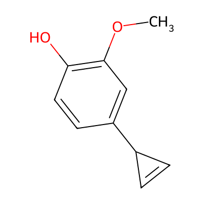 COc1cc(C2C=C2)ccc1O